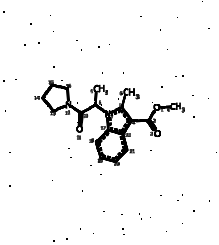 COC(=O)c1c(C)n(C(C)C(=O)N2CCCC2)c2ccccc12